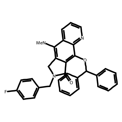 CNc1c2c(c(OC(c3ccccc3)c3ccccc3)c3ncccc13)C(=O)N(Cc1ccc(F)cc1)C2